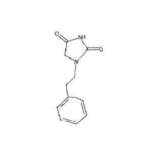 O=C1CN(CCc2ccccc2)C(=O)N1